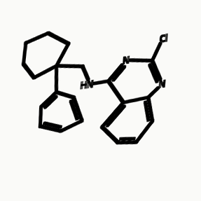 Clc1nc(NCC2(c3ccccc3)CCCCC2)c2ccccc2n1